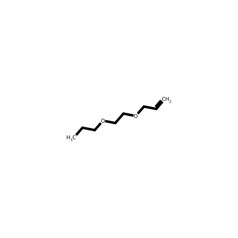 C=CCOCCOCCC